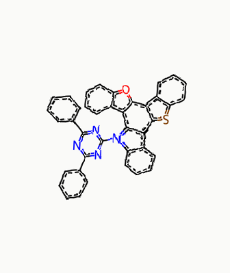 c1ccc(-c2nc(-c3ccccc3)nc(-n3c4ccccc4c4c5sc6ccccc6c5c5oc6ccccc6c5c43)n2)cc1